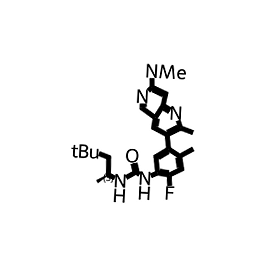 CNc1cc2nc(C)c(-c3cc(NC(=O)N[C@@H](C)CC(C)(C)C)c(F)cc3C)cc2cn1